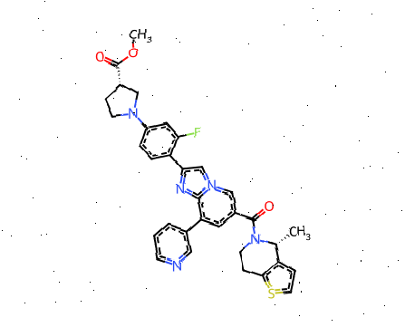 COC(=O)[C@H]1CCN(c2ccc(-c3cn4cc(C(=O)N5CCc6sccc6[C@H]5C)cc(-c5cccnc5)c4n3)c(F)c2)C1